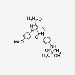 COc1ccc(-n2nc(C(N)=O)c3c2C(=O)N(c2ccc(NC(=O)C(C)(C)O)cc2)CC3)cc1